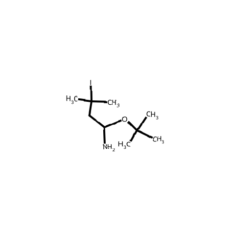 CC(C)(I)CC(N)OC(C)(C)C